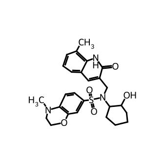 Cc1cccc2cc(CN(C3CCCCC3O)S(=O)(=O)c3ccc4c(c3)OCCN4C)c(=O)[nH]c12